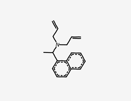 C=CCN(CC=C)C(C)c1cccc2ccccc12